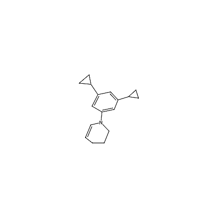 C1=CN(c2cc(C3CC3)cc(C3CC3)c2)CCC1